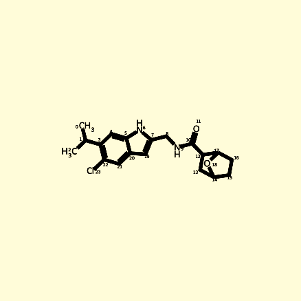 CC(C)c1cc2[nH]c(CNC(=O)C3CC4CCC3O4)cc2cc1Cl